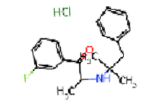 CC(NC(C)(C)Cc1ccccc1)C(=O)c1cccc(F)c1.Cl